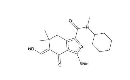 CSc1sc(C(=O)N(C)C2CCCCC2)c2c1C(=O)C(=CO)C(C)(C)C2